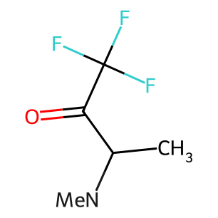 CNC(C)C(=O)C(F)(F)F